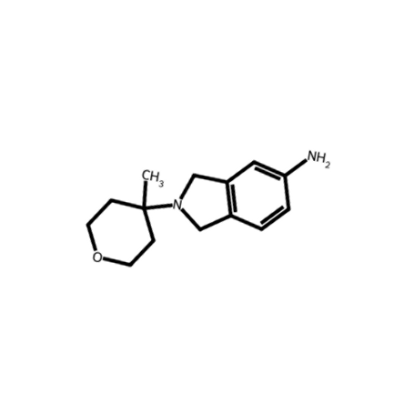 CC1(N2Cc3ccc(N)cc3C2)CCOCC1